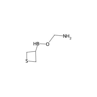 NCOBC1CSC1